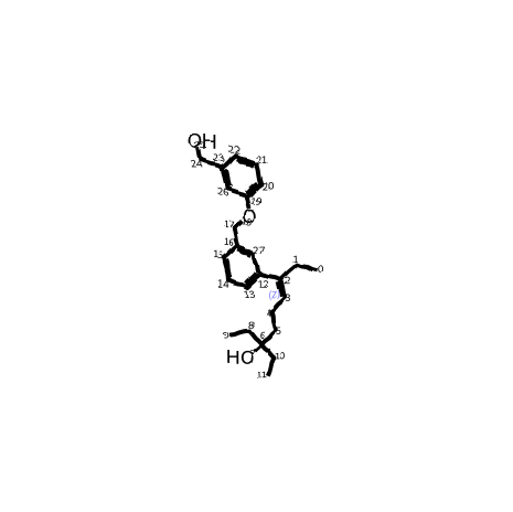 CC/C(=C/CCC(O)(CC)CC)c1cccc(COc2cccc(CO)c2)c1